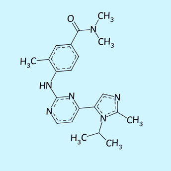 Cc1cc(C(=O)N(C)C)ccc1Nc1nccc(-c2cnc(C)n2C(C)C)n1